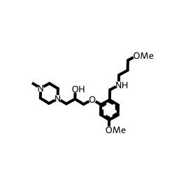 COCCCNCc1ccc(OC)cc1OCC(O)CN1CCN(C)CC1